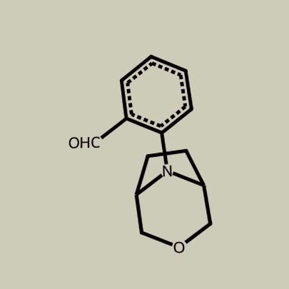 O=Cc1ccccc1N1C2CCC1COC2